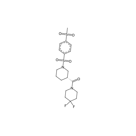 CS(=O)(=O)c1ccc(S(=O)(=O)N2CCC[C@@H](C(=O)N3CCC(F)(F)CC3)C2)cc1